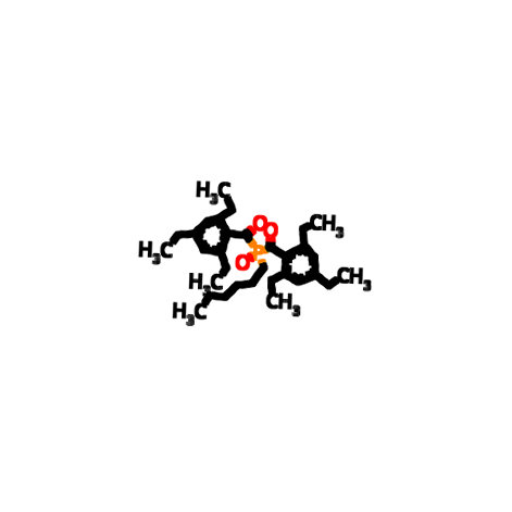 CCCCCCP(=O)(C(=O)c1c(CC)cc(CC)cc1CC)C(=O)c1c(CC)cc(CC)cc1CC